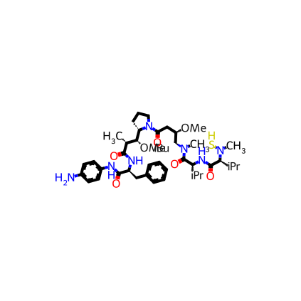 CC[C@H](C)[C@@H]([C@@H](CC(=O)N1CCC[C@H]1[C@H](OC)[C@@H](C)C(=O)N[C@@H](Cc1ccccc1)C(=O)Nc1ccc(N)cc1)OC)N(C)C(=O)[C@@H](NC(=O)[C@H](C(C)C)N(C)S)C(C)C